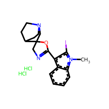 Cl.Cl.Cn1c(I)c(C2=NCC3(CN4CCC3CC4)O2)c2ccccc21